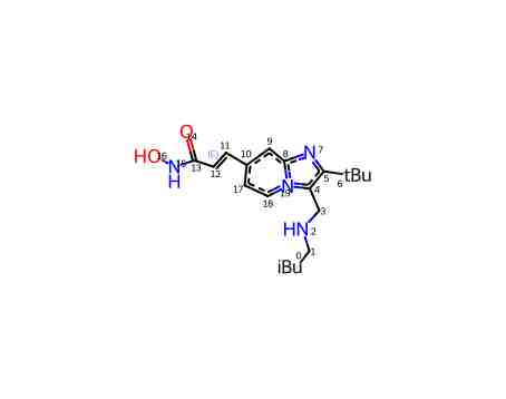 CCC(C)CNCc1c(C(C)(C)C)nc2cc(/C=C/C(=O)NO)ccn12